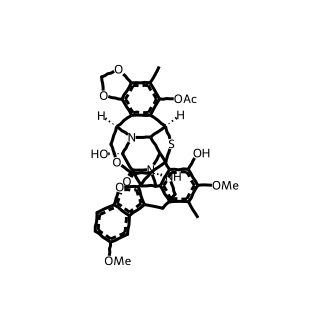 COc1ccc2oc3c(c2c1)CCN[C@]31CS[C@@H]2c3c(OC(C)=O)c(C)c4c(c3[C@H](COC1=O)N1C2C2c3c(cc(C)c(OC)c3O)CC([C@@H]1O)N2C)OCO4